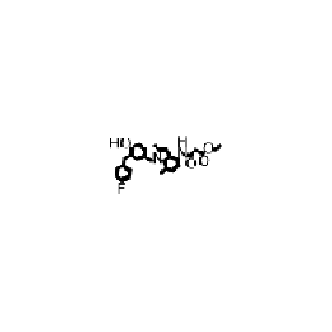 CCOC(=O)CC(=O)Nc1ccc(C)c2c1cc(C)n2Cc1ccc(O)c(Cc2ccc(F)cc2)c1